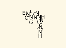 CCN1C(=O)N(C2CCCC2)c2nc(Nc3ccc(N4CCNCC4)cn3)ncc2C1C